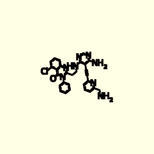 NCc1cccc(C#Cc2c(N)ncnc2NCCc2nc3cccc(Cl)c3c(=O)n2-c2ccccc2)n1